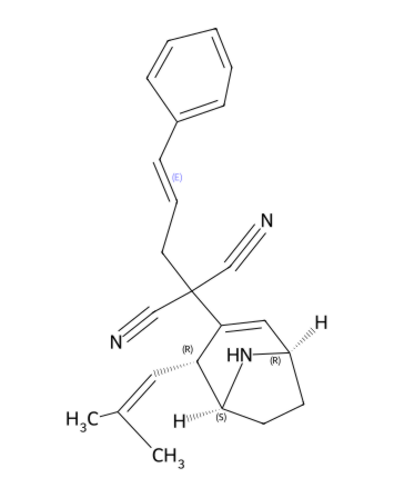 CC(C)=C[C@@H]1C(C(C#N)(C#N)C/C=C/c2ccccc2)=C[C@H]2CC[C@@H]1N2